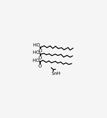 CCCCCCCCCCCC(=O)O.CCCCCCCCCCCC(=O)O.CCCCCCCCCCCC(=O)O.C[CH](C)[SnH]